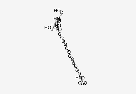 Cc1nc(NCCCc2cccc(O)c2)nc(C)c1C(=O)NC(CNC(=O)CCOCCOCCOCCOCCOCCOCCOCCOCCOCCOCCOCCOCCNC(=O)CCN1C(=O)C=CC1=O)C(=O)O